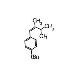 CC(=Cc1ccc(C(C)(C)C)cc1)C(C)O